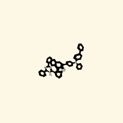 c1ccc(C2=NC(c3ccccc3)NC(c3cccc4oc5c(-c6ccc(N(c7ccccc7)c7ccc(-c8ccccc8)cc7)cc6)cc6ccccc6c5c34)=N2)cc1